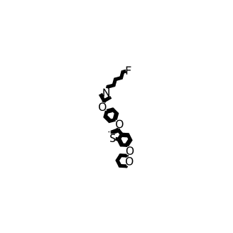 FCCCCCN1CC(Oc2ccc(Oc3[c]sc4cc(OC5CCCCO5)ccc34)cc2)C1